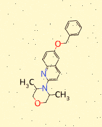 CC1COCC(C)N1c1ccc2cc(OCc3ccccc3)ccc2n1